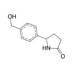 O=C1CCC(c2ccc(CO)cc2)N1